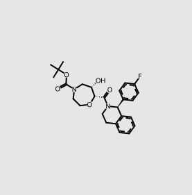 CC(C)(C)OC(=O)N1CCO[C@@H](C(=O)N2CCc3ccccc3[C@@H]2c2ccc(F)cc2)[C@@H](O)C1